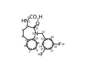 O=C(O)NC1CCc2ccccc2N(Cc2cc(F)cc(F)c2)C1=O